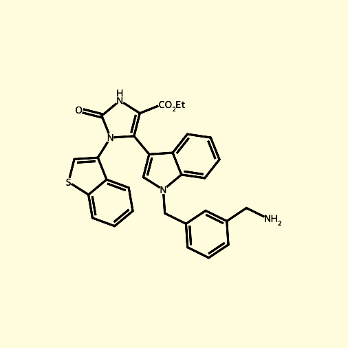 CCOC(=O)c1[nH]c(=O)n(-c2csc3ccccc23)c1-c1cn(Cc2cccc(CN)c2)c2ccccc12